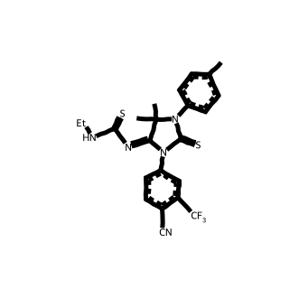 CCNC(=S)N=C1N(c2ccc(C#N)c(C(F)(F)F)c2)C(=S)N(c2ccc(C)cc2)C1(C)C